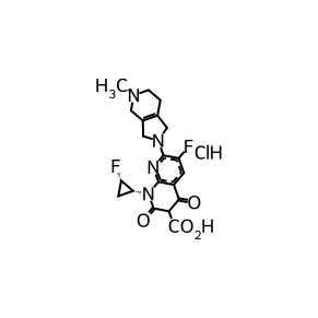 CN1CCC2=C(C1)CN(c1nc3c(cc1F)C(=O)C(C(=O)O)C(=O)N3[C@@H]1C[C@@H]1F)C2.Cl